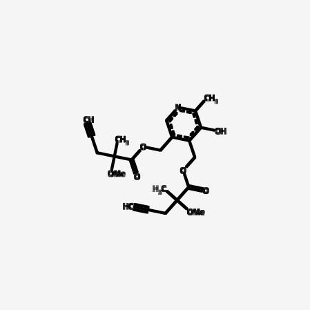 C#CCC(C)(OC)C(=O)OCc1cnc(C)c(O)c1COC(=O)C(C)(CC#C)OC